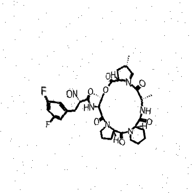 C[C@H]1C[C@H]2C(=O)O[C@@H](C)[C@H](NC(=O)[C@H](Cc3cc(F)cc(F)c3)N=O)C(=O)N3CCC[C@H]3C(=O)N3CCCC[C@H]3C(=O)N[C@@H](C)C(=O)N2C1